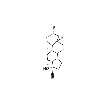 C#C[C@]1(O)CCC2C3CC[C@H]4C[C@@H](F)CC[C@]4(C)C3CC[C@@]21C